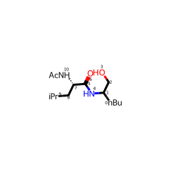 CCCCC(CO)NC(=O)[C@H](CC(C)C)NC(C)=O